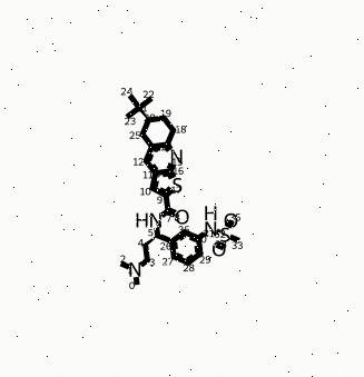 CN(C)CC[C@@H](NC(=O)c1cc2cc3c(nc2s1)CC[C@H](C(C)(C)C)C3)c1cccc(NS(C)(=O)=O)c1